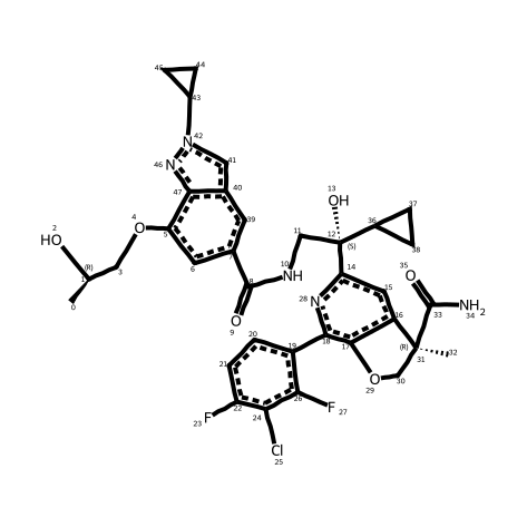 C[C@@H](O)COc1cc(C(=O)NC[C@](O)(c2cc3c(c(-c4ccc(F)c(Cl)c4F)n2)OC[C@]3(C)C(N)=O)C2CC2)cc2cn(C3CC3)nc12